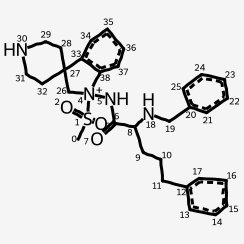 CS(=O)(=O)[N+]1(NC(=O)C(CCCc2ccccc2)NCc2ccccc2)CC2(CCNCC2)c2ccccc21